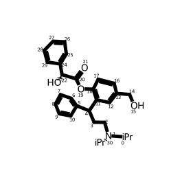 CC(C)N(CCC(c1ccccc1)c1cc(CO)ccc1OC(=O)[C@H](O)c1ccccc1)C(C)C